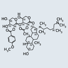 COc1ccc(C(=O)O[C@H]2[C@H](O[C@@H]3[C@@H](OC(C)=O)[C@H](O[C@H]4CC5C6CC[C@H]7C[C@@H](O)CC[C@]7(C)C6CC[C@]5(C)[C@H]4[C@H](C)CCC[C@@H](C)CN(C)C)OC[C@@H]3O)OC[C@@H](O)[C@@H]2O)cc1